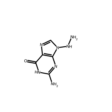 NNn1cnc2c(=O)[nH]c(N)nc21